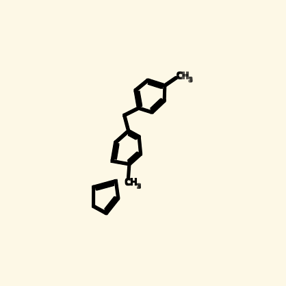 C1=CCC=C1.Cc1ccc(Cc2ccc(C)cc2)cc1